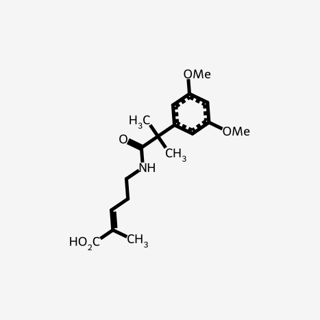 COc1cc(OC)cc(C(C)(C)C(=O)NCCC=C(C)C(=O)O)c1